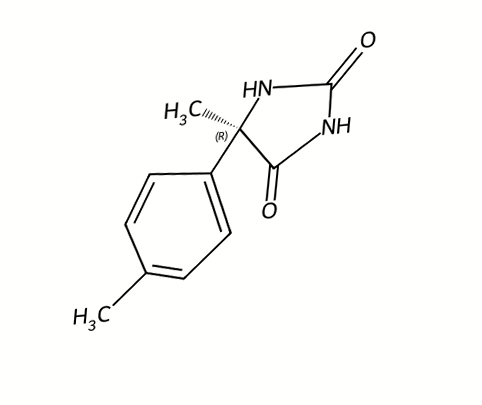 Cc1ccc([C@@]2(C)NC(=O)NC2=O)cc1